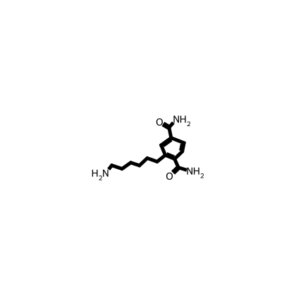 NCCCCCCc1cc(C(N)=O)ccc1C(N)=O